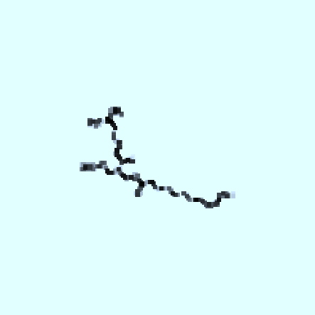 CCCCCCCC/C=C\CCCCCCCC(=O)OCN(COC=O)C(=O)CSCCN(C)C